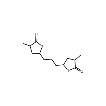 CC1CC(CCCC2CC(C)C(=O)S2)SC1=O